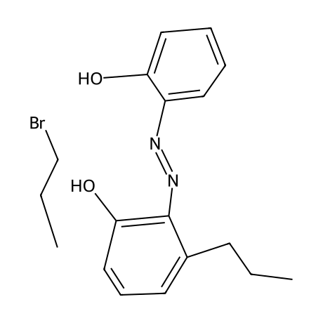 CCCBr.CCCc1cccc(O)c1N=Nc1ccccc1O